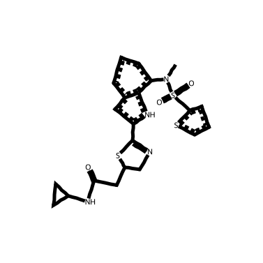 CN(c1cccc2cc(C3=NCC(CC(=O)NC4CC4)S3)[nH]c12)S(=O)(=O)c1cccs1